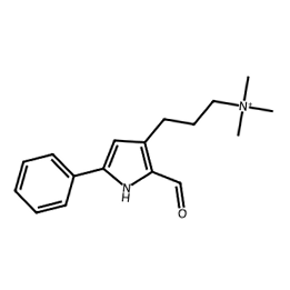 C[N+](C)(C)CCCc1cc(-c2ccccc2)[nH]c1C=O